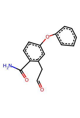 NC(=O)c1ccc(Oc2ccccc2)cc1CC=O